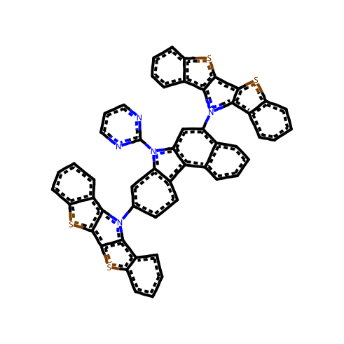 c1cnc(-n2c3cc(-n4c5c6ccccc6sc5c5sc6ccccc6c54)ccc3c3c4ccccc4c(-n4c5c6ccccc6sc5c5sc6ccccc6c54)cc32)nc1